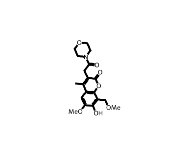 COCc1c(O)c(OC)cc2c(C)c(CC(=O)N3CCOCC3)c(=O)oc12